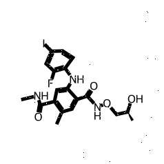 CNC(=O)c1cc(Nc2ccc(I)cc2F)c(C(=O)NOC[C@H](C)O)cc1C